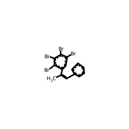 CC(=Cc1ccccc1)c1cc(Br)c(Br)c(Br)c1Br